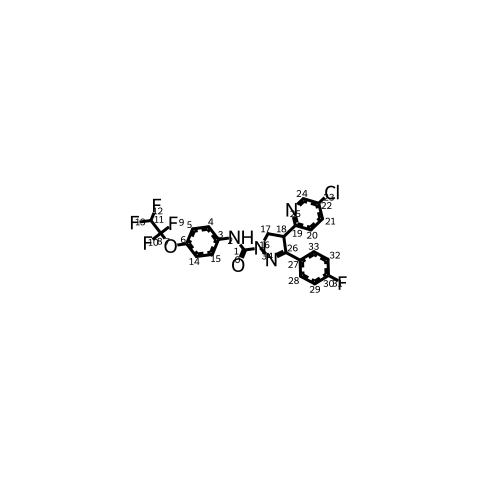 O=C(Nc1ccc(OC(F)(F)C(F)F)cc1)N1CC(c2ccc(Cl)cn2)C(c2ccc(F)cc2)=N1